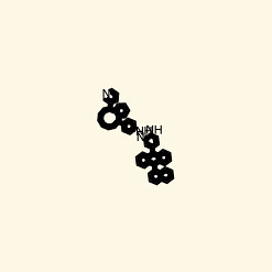 N=C1C=CC(c2c3ccccc3c(-c3cccc4ccccc34)c3ccccc23)=C/C1=N/Nc1ccc(-c2ccccccc(-c3cccnc3)c3ccccc23)cc1